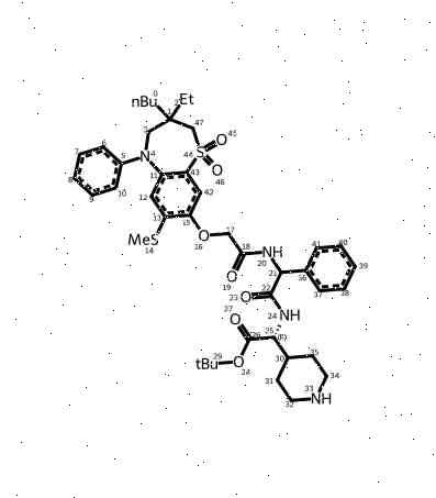 CCCCC1(CC)CN(c2ccccc2)c2cc(SC)c(OCC(=O)NC(C(=O)N[C@@H](C(=O)OC(C)(C)C)C3CCNCC3)c3ccccc3)cc2S(=O)(=O)C1